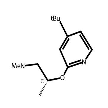 CNC[C@@H](C)Oc1cc(C(C)(C)C)ccn1